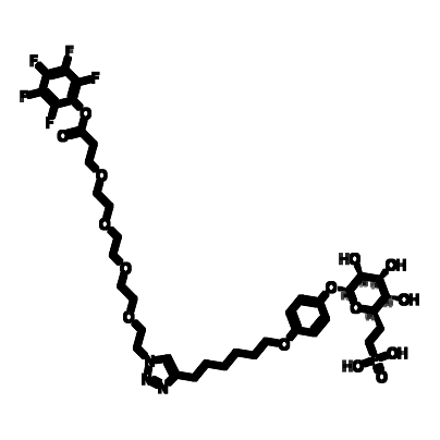 O=C(CCOCCOCCOCCOCCn1cc(CCCCCCOc2ccc(O[C@H]3O[C@H](CCP(=O)(O)O)[C@@H](O)[C@H](O)[C@@H]3O)cc2)nn1)Oc1c(F)c(F)c(F)c(F)c1F